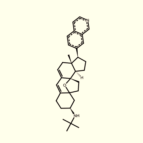 CC(C)(C)N[C@H]1CCC2=CC3=CC[C@]4(C)[C@@H](c5ccc6ccncc6c5)CC[C@H]4[C@@]34CCC2(C1)O4